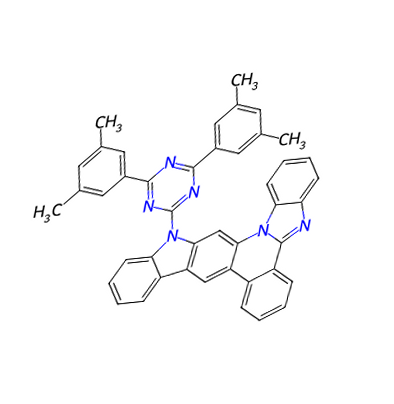 Cc1cc(C)cc(-c2nc(-c3cc(C)cc(C)c3)nc(-n3c4ccccc4c4cc5c6ccccc6c6nc7ccccc7n6c5cc43)n2)c1